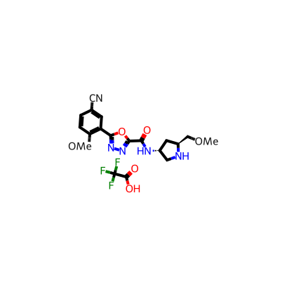 COC[C@@H]1C[C@@H](NC(=O)c2nnc(-c3cc(C#N)ccc3OC)o2)CN1.O=C(O)C(F)(F)F